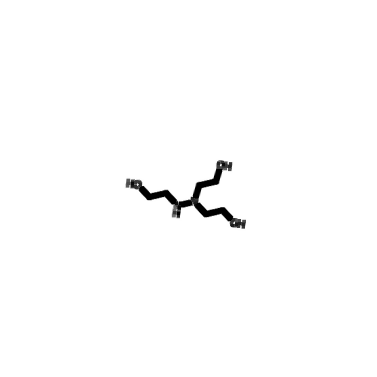 OCCNN(CCO)CCO